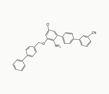 N#Cc1cccc(-c2ccc(-c3cc(Cl)cc(OCc4ccc(-c5ccccc5)cc4)c3N)cc2)c1